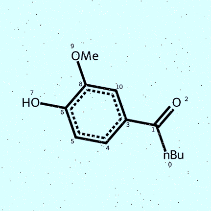 CCCCC(=O)c1ccc(O)c(OC)c1